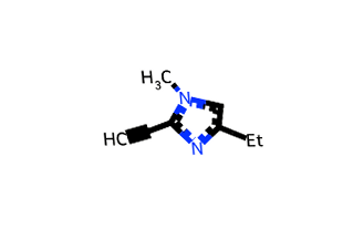 C#Cc1nc(CC)cn1C